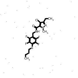 CCCCSc1c(F)c(F)c(CNC(=O)c2c(Cl)c(CC)nn2C)c(F)c1F